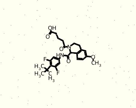 COc1ccc2c(c1)CCN(C(=O)CCCC(=O)O)C2C(=O)Nc1cc(F)c(C(C)(C)C)c(F)c1